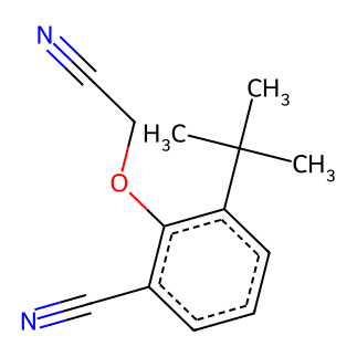 CC(C)(C)c1cccc(C#N)c1OCC#N